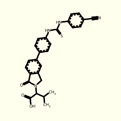 CC(C)C(C(=O)O)N1Cc2cc(-c3ccc(NC(=S)Nc4ccc(C#N)cc4)cc3)ccc2C1=O